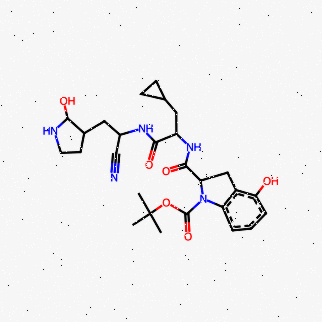 CC(C)(C)OC(=O)N1c2cccc(O)c2CC1C(=O)NC(CC1CC1)C(=O)NC(C#N)CC1CCNC1O